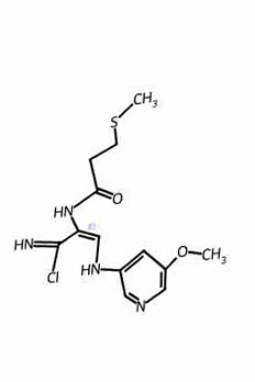 COc1cncc(N/C=C(/NC(=O)CCSC)C(=N)Cl)c1